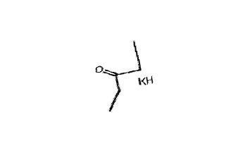 CCC(=O)CC.[KH]